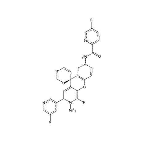 NN1C(F)=C2OC3=C(CC(NC(=O)c4ccc(F)cn4)C=C3)[C@@]3(C=CN=CO3)C2=CC1c1cncc(F)c1